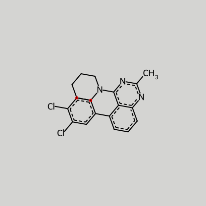 Cc1nc(N2CCCCC2)c2c(-c3ccc(Cl)c(Cl)c3)cccc2n1